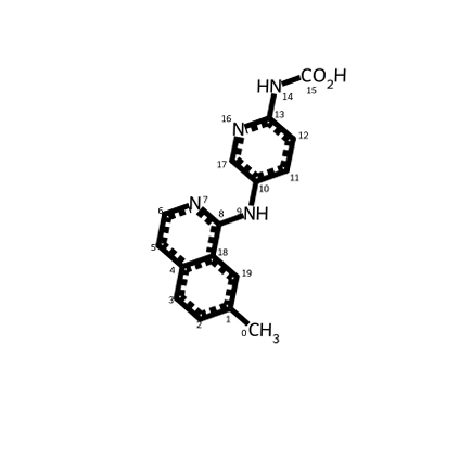 Cc1ccc2ccnc(Nc3ccc(NC(=O)O)nc3)c2c1